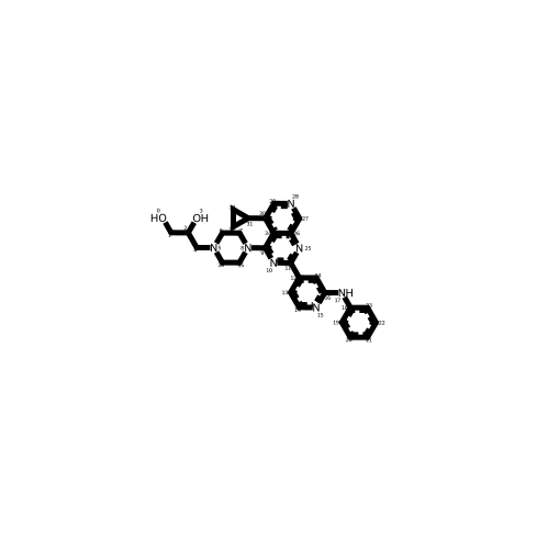 OCC(O)CN1CCN(c2nc(-c3ccnc(Nc4ccccc4)c3)nc3cncc(C4CC4)c23)CC1